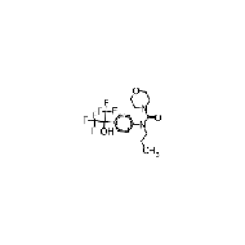 CCCN(C(=O)N1CCOCC1)c1ccc(C(O)(C(F)(F)F)C(F)(F)F)cc1